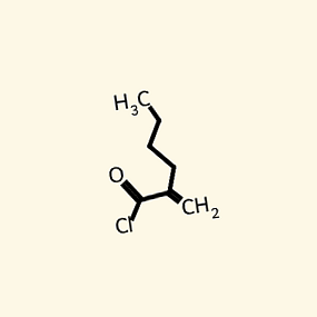 C=C(CCCC)C(=O)Cl